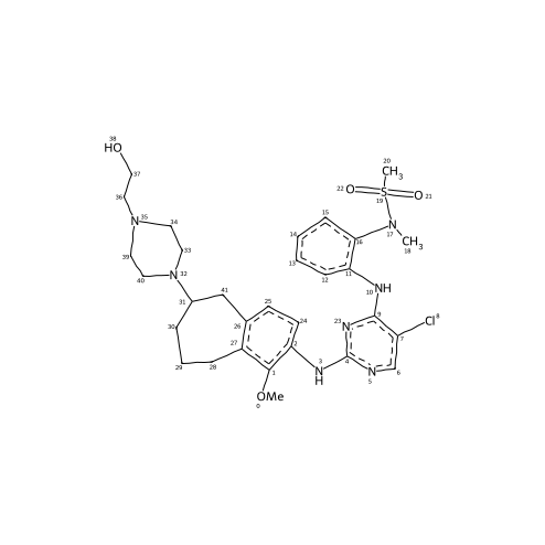 COc1c(Nc2ncc(Cl)c(Nc3ccccc3N(C)S(C)(=O)=O)n2)ccc2c1CCCC(N1CCN(CCO)CC1)C2